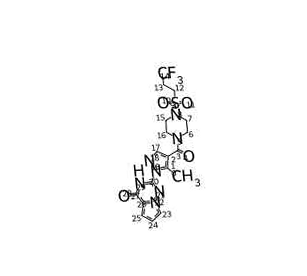 Cc1c(C(=O)N2CCN(S(=O)(=O)CCC(F)(F)F)CC2)cnn1-c1nn2cccc2c(=O)[nH]1